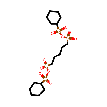 O=S(=O)(CCCCCS(=O)(=O)OS(=O)(=O)C1CCCCC1)OS(=O)(=O)C1CCCCC1